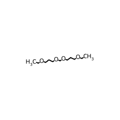 CCOCCCOCOCCCOCC